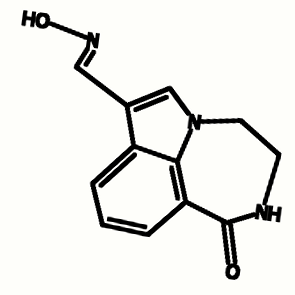 O=C1NCCn2cc(/C=N/O)c3cccc1c32